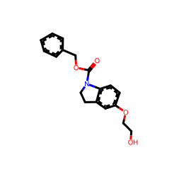 O=C(OCc1ccccc1)N1CCc2cc(OCCO)ccc21